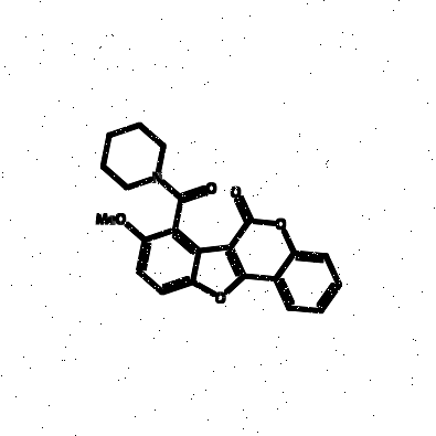 COc1ccc2oc3c4ccccc4oc(=O)c3c2c1C(=O)N1CCCCC1